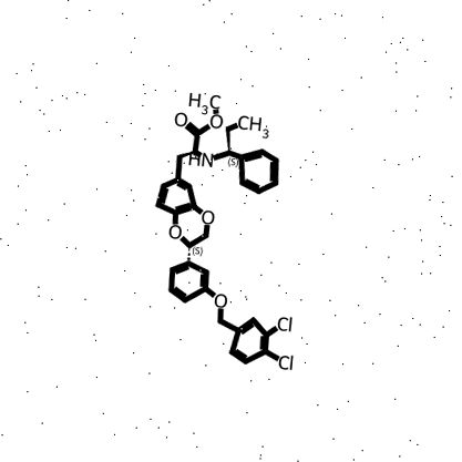 CC[C@H](N[C@@H](Cc1ccc2c(c1)OC[C@H](c1cccc(OCc3ccc(Cl)c(Cl)c3)c1)O2)C(=O)OC)c1ccccc1